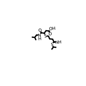 CC(C)CNC(=O)C(CC(=O)O)SCCCC(=N)SC(C)C